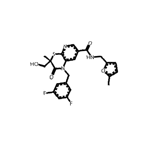 Cc1ccc(CNC(=O)c2cnc3c(c2)N(Cc2cc(F)cc(F)c2)C(=O)C(C)(CO)S3)o1